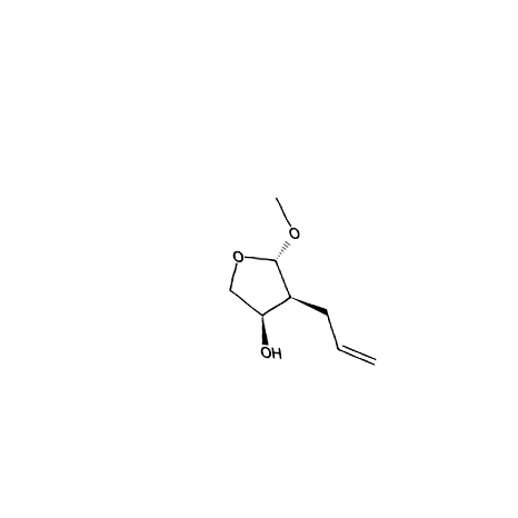 C=CC[C@@H]1[C@@H](OC)OC[C@@H]1O